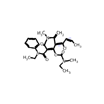 C=c1/c(=C(Cl)\C=C/C)c(OC(=O)N(C)CC)c(C(=O)N(CC)c2ccccc2)c(=O)n1C